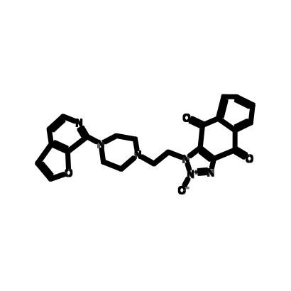 O=C1c2ccccc2C(=O)c2c1n[n+]([O-])n2CCN1CCN(c2nccc3ccoc23)CC1